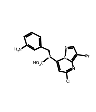 CC(C)c1cnn2c(N(Cc3cccc(N)c3)C(=O)O)cc(Cl)nc12